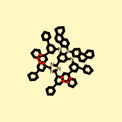 c1ccc(-c2cc(-c3ccccc3)cc(-c3nc(-c4cc(-c5ccccc5)cc(-c5ccccc5)c4)nc(-c4cc5c6c(c4)N(c4cc(-c7ccccc7)cc(-c7ccccc7)c4)c4c(ccc7c4ccc4ccccc47)B6c4ccc6c(ccc7ccccc76)c4N5c4cc(-c5ccccc5)cc(-c5ccccc5)c4)n3)c2)cc1